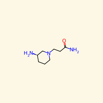 NC(=O)CCN1CCC[C@@H](N)C1